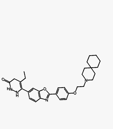 CCC1=C(c2ccc3nc(-c4ccc(OCCN5CCC6(CCCCC6)CC5)cc4)oc3c2)NNC(=O)C1